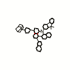 CC1(C)c2ccccc2-c2ccc(N(c3ccc(-c4ccc(C56CC7CC(CC(C7)C5)C6)cc4)cc3)c3c(-c4ccccc4-c4ccc5ccccc5c4)ccc4ccccc34)cc21